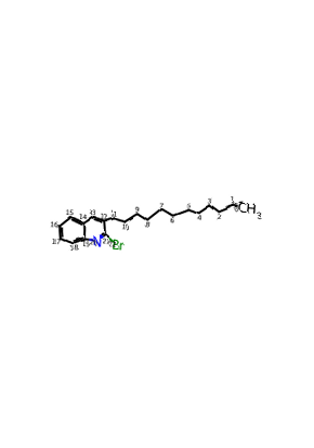 CCCCCCCCCCCCc1cc2ccccc2nc1Br